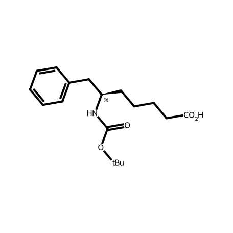 CC(C)(C)OC(=O)N[C@H](CCCCC(=O)O)Cc1ccccc1